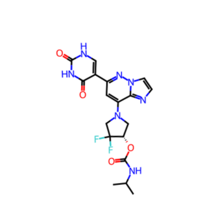 CC(C)NC(=O)O[C@H]1CN(c2cc(-c3c[nH]c(=O)[nH]c3=O)nn3ccnc23)CC1(F)F